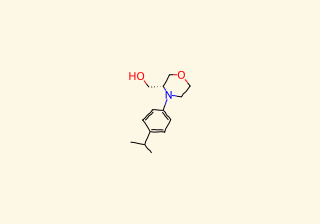 CC(C)c1ccc(N2CCOC[C@H]2CO)cc1